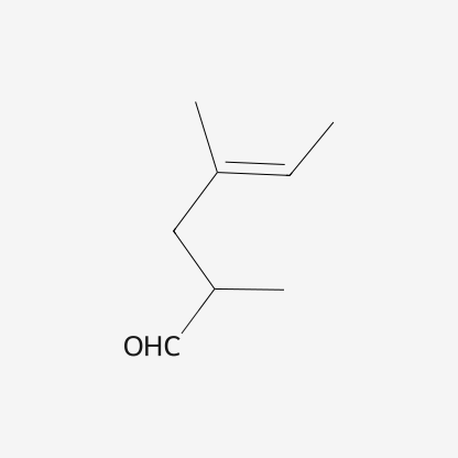 CC=C(C)CC(C)C=O